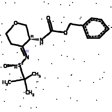 CC(C)(C)[S@@+]([O-])/N=C1\CCOC[C@@H]1NC(=O)OCc1ccccc1